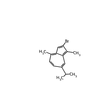 Cc1ccc(C(C)C)cc2c(C)c(Br)cc1-2